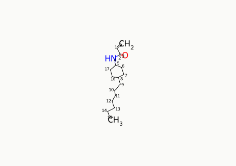 C=CC(=O)NC1CCC(CCCCCCC)CC1